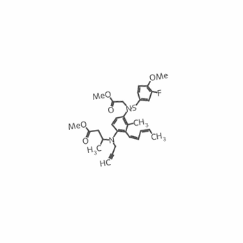 C#CCN(c1ccc(N(CC(=O)OC)Sc2ccc(OC)c(F)c2)c(C)c1/C=C\C=C/C)C(C)CC(=O)OC